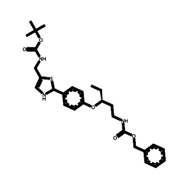 CC[C@@H](CCNC(=O)OCc1ccccc1)Oc1ccc(C2NC=C(CNC(=O)OC(C)(C)C)S2)cc1